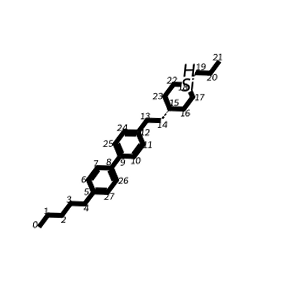 CCCCCc1ccc(-c2ccc(CC[C@H]3CC[Si@H](CCC)CC3)cc2)cc1